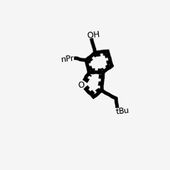 CCCc1c(O)ccc2c(CC(C)(C)C)coc12